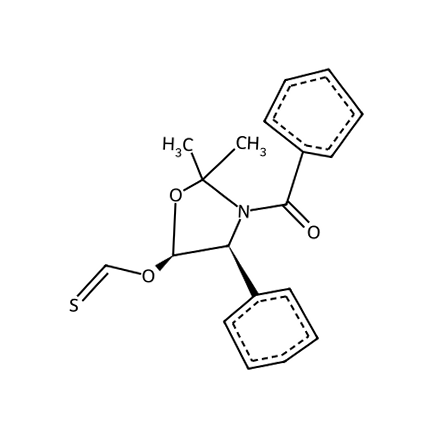 CC1(C)O[C@H](OC=S)[C@H](c2ccccc2)N1C(=O)c1ccccc1